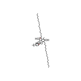 CCCCCCCCCCCCCCCCCCc1cc(C(Cc2cccc(C(C)(C)C)c2)(C(=O)O)C(=O)O)c(CCCCCCCCCCCCCCCCCC)c(C)c1O